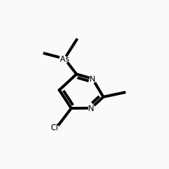 Cc1nc(Cl)cc([As](C)C)n1